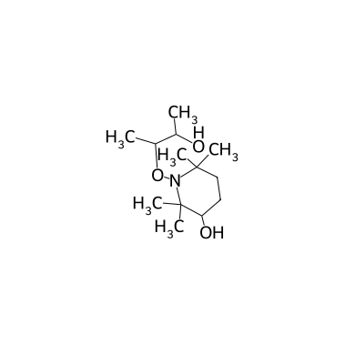 CC(O)C(C)ON1C(C)(C)CCC(O)C1(C)C